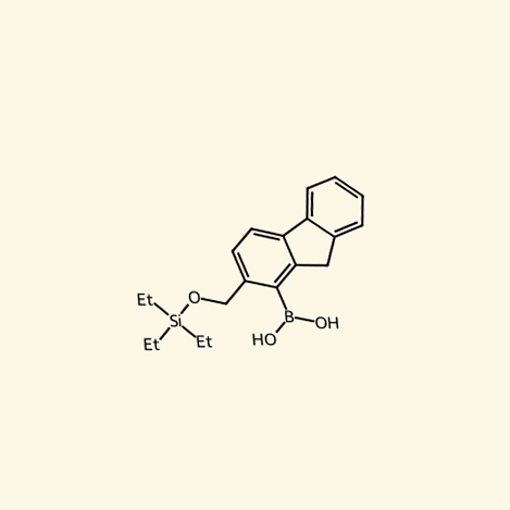 CC[Si](CC)(CC)OCc1ccc2c(c1B(O)O)Cc1ccccc1-2